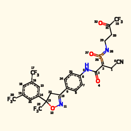 N#CCC(C(=O)Nc1ccc(C2=NOC(c3cc(C(F)(F)F)cc(C(F)(F)F)c3)(C(F)(F)F)C2)cc1)=S(=O)=NCCC(=O)C(F)(F)F